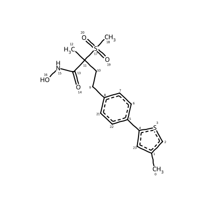 Cc1csc(-c2ccc(CCC(C)(C(=O)NO)S(C)(=O)=O)cc2)c1